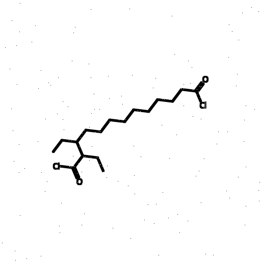 CCC(CCCCCCCCCC(=O)Cl)C(CC)C(=O)Cl